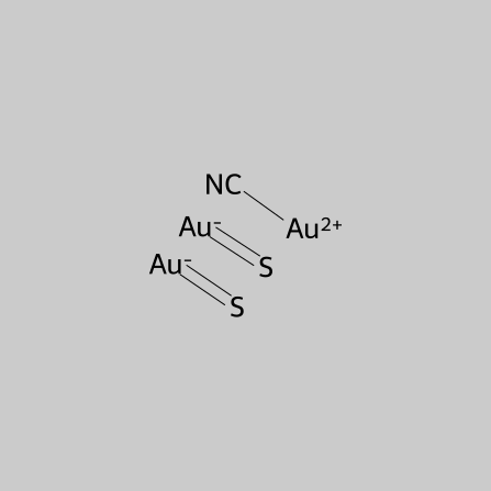 N#[C][Au+2].[S]=[Au-].[S]=[Au-]